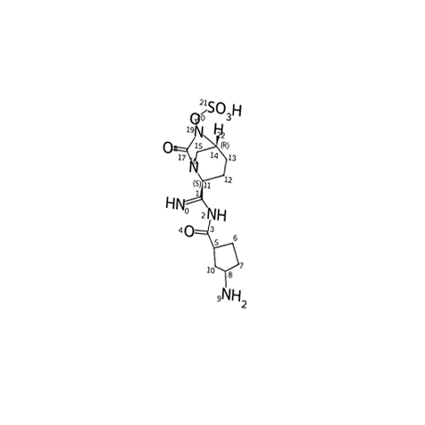 N=C(NC(=O)C1CCC(N)C1)[C@@H]1CC[C@@H]2CN1C(=O)N2OS(=O)(=O)O